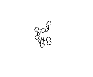 c1ccc(-n2ccc3cc4c(cc32)c2ccccc2n4-c2cccc(-c3nc(-c4cccc5ccccc45)c4ccccc4n3)c2)cc1